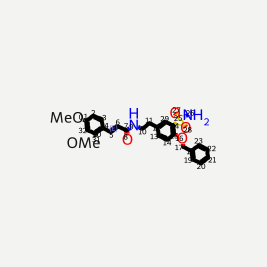 COc1ccc(/C=C/C(=O)NCCc2ccc(OCc3ccccc3)c(S(N)(=O)=O)c2)c(OC)c1